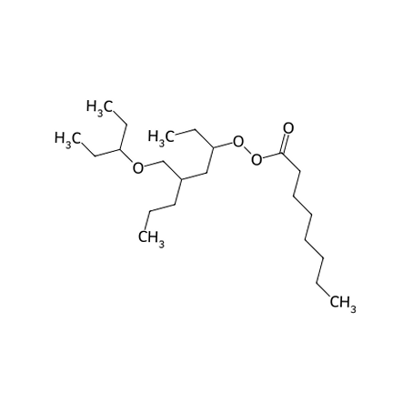 CCCCCCCC(=O)OOC(CC)CC(CCC)COC(CC)CC